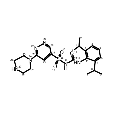 CC(C)c1cccc(C(C)C)c1NC(=O)NS(=O)(=O)c1cnnc(N2CCNCC2)c1